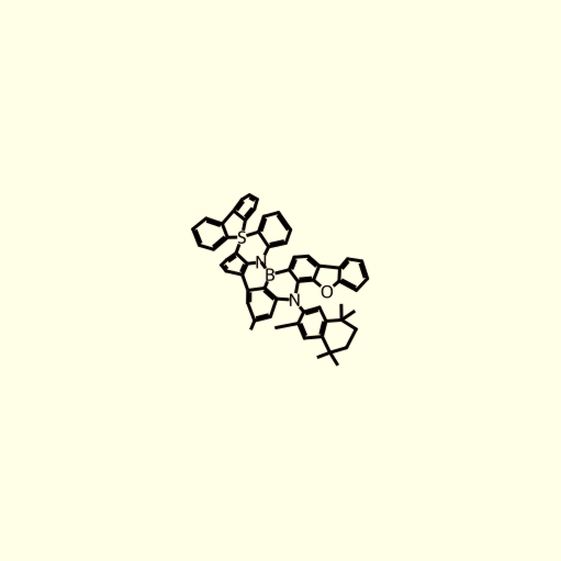 Cc1cc2c3c(c1)N(c1cc4c(cc1C)C(C)(C)CCC4(C)C)c1c(ccc4c1oc1ccccc14)B3N1c3ccccc3S3(c4ccccc4-c4ccccc43)c3cccc-2c31